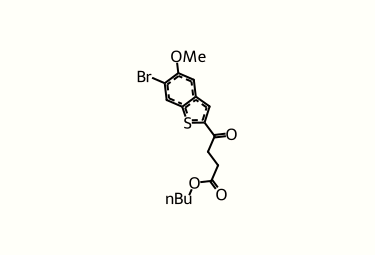 CCCCOC(=O)CCC(=O)c1cc2cc(OC)c(Br)cc2s1